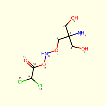 NC(CO)(CO)CONOC(=O)C(Cl)Cl